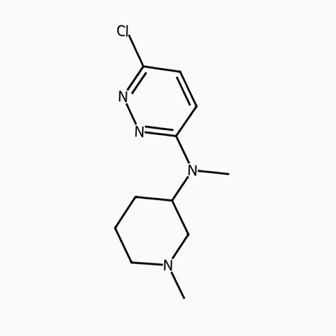 CN1CCCC(N(C)c2ccc(Cl)nn2)C1